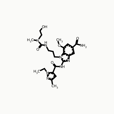 CCn1nc(C)cc1C(=O)Nc1nc2cc(C(N)=O)cc(OC)c2n1CCCNC(=O)N(C)CCO